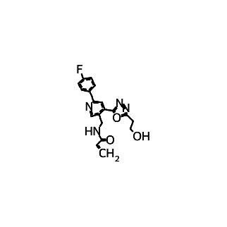 C=CC(=O)NCc1cnc(-c2ccc(F)cc2)cc1-c1nnc(CCO)o1